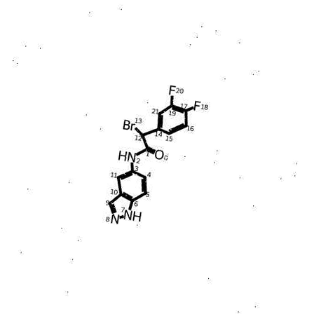 O=C(Nc1ccc2[nH]ncc2c1)C(Br)c1ccc(F)c(F)c1